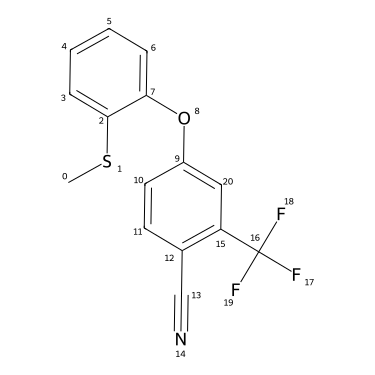 CSc1ccccc1Oc1ccc(C#N)c(C(F)(F)F)c1